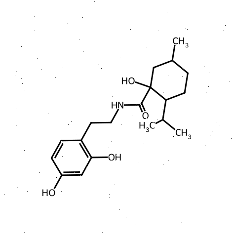 CC1CCC(C(C)C)C(O)(C(=O)NCCc2ccc(O)cc2O)C1